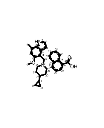 COc1cc(C)c2[nH]ccc2c1CN1CCC(C2CC2)C[C@H]1c1ccc(C(=O)O)c2ccccc12